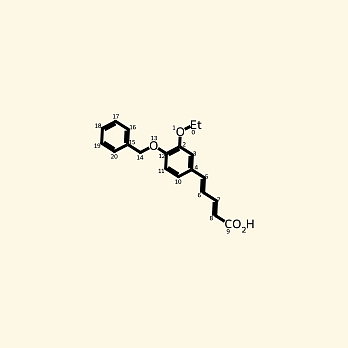 CCOc1cc(C=CC=CC(=O)O)ccc1OCc1ccccc1